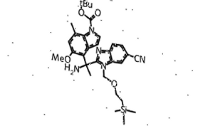 COc1cc(C)c2c(ccn2C(=O)OC(C)(C)C)c1C(C)(N)c1nc2ccc(C#N)cc2n1COCC[Si](C)(C)C